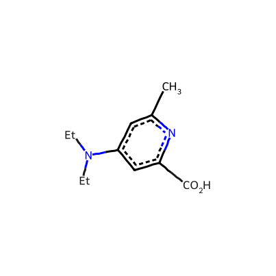 CCN(CC)c1cc(C)nc(C(=O)O)c1